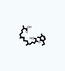 CCC1=C(OC(CO)CCCC(C)CC/C=C(\C)CCCC(C)C(=O)O)C(C)C(C)C=C1